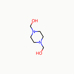 OCN1CCN(CO)CC1